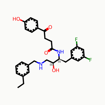 CCc1cccc(CNC[C@H](O)[C@H](Cc2cc(F)cc(F)c2)NC(=O)CCC(=O)c2ccc(O)cc2)c1